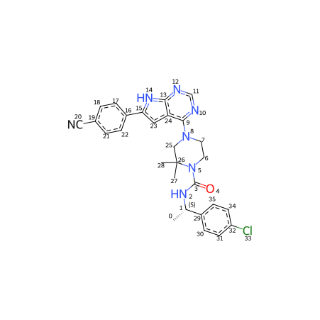 C[C@H](NC(=O)N1CCN(c2ncnc3[nH]c(-c4ccc(C#N)cc4)cc23)CC1(C)C)c1ccc(Cl)cc1